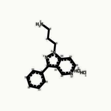 Cl.Cl.NCCCn1nc(-c2ccccc2)c2cnccc21